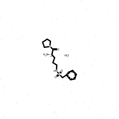 Cl.N[C@@H](CCCNS(=O)(=O)Cc1ccccc1)C(=O)N1CCCC1